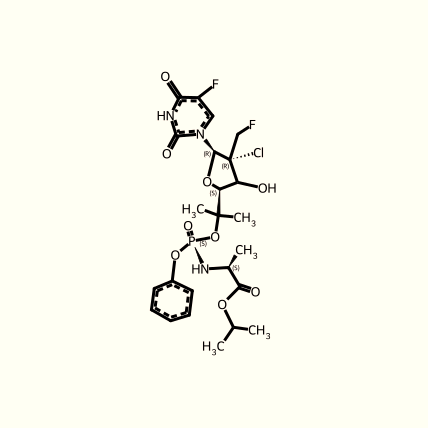 CC(C)OC(=O)[C@H](C)N[P@](=O)(Oc1ccccc1)OC(C)(C)[C@H]1O[C@@H](n2cc(F)c(=O)[nH]c2=O)[C@@](Cl)(CF)C1O